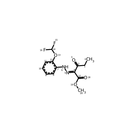 CCC(=O)/C(=N\Nc1ccccc1OC(F)F)C(=O)OC